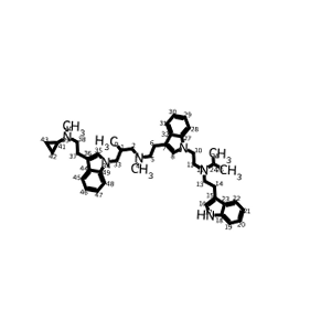 CC(CN(C)CCc1cn(CCN(CCc2c[nH]c3ccccc23)C(C)C)c2ccccc12)Cn1cc(CCN(C)C2CC2)c2ccccc21